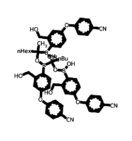 CCCCCCC(C)(OB(c1ccc(Oc2ccc(C#N)cc2)cc1CO)C(C)(CCCC)OB(O)c1ccc(Oc2ccc(C#N)cc2)cc1CO)B(O)c1ccc(Oc2ccc(C#N)cc2)cc1CO